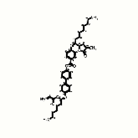 C=CC(=O)OC(CCCCCC)Oc1ccc(-c2ccc(OC(=O)c3ccc(OC(CCCCCCCC)C4CC(=C)C(=O)O4)cc3)cc2)cc1